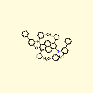 Cc1cccc(N(c2cc(-c3ccccc3)ccc2C)c2cc(C3CCCC3)c3ccc4c(N(c5cccc(C)c5)c5cc(-c6ccccc6)ccc5C)cc(C5CCCC5)c5ccc2c3c54)c1